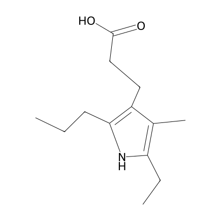 CCCc1[nH]c(CC)c(C)c1CCC(=O)O